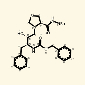 CC(C)(C)NC(=O)[C@@H]1CSCN1C[C@@H](O)[C@H](Cc1ccccc1)NC(=O)OCc1ccccc1